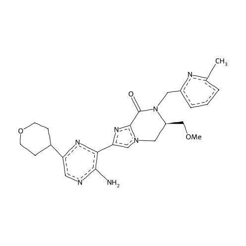 COC[C@H]1Cn2cc(-c3nc(C4CCOCC4)cnc3N)nc2C(=O)N1Cc1cccc(C)n1